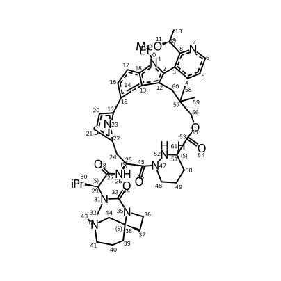 CCn1c(-c2cccnc2[C@H](C)OC)c2c3cc(ccc31)-c1csc(n1)C[C@H](NC(=O)[C@H](C(C)C)N(C)C(=O)N1CC[C@]13CCCN(C)C3)C(=O)N1CCC[C@H](N1)C(=O)OCC(C)(C)C2